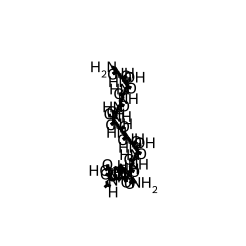 CC(C)C[C@H](NC(=O)CNC(=O)[C@H](CC(N)=O)NC(=O)CNC(=O)CNC(=O)[C@H](CO)NC(=O)CNC(=O)CNC(=O)CNC(=O)[C@H](CO)NC(=O)CNC(=O)CNC(=O)CNC(=O)[C@H](CO)NC(=O)CNC(=O)CN)C(=O)N[C@@H](Cc1c[nH]cn1)C(=O)O